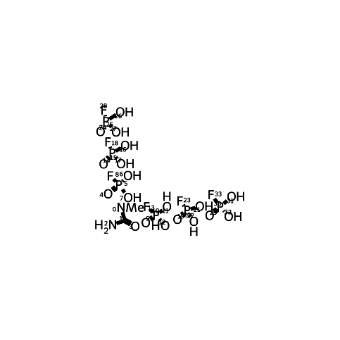 CNC(N)=O.O=P(O)(O)F.O=P(O)(O)F.O=P(O)(O)F.O=P(O)(O)F.O=P(O)(O)F.O=P(O)(O)F